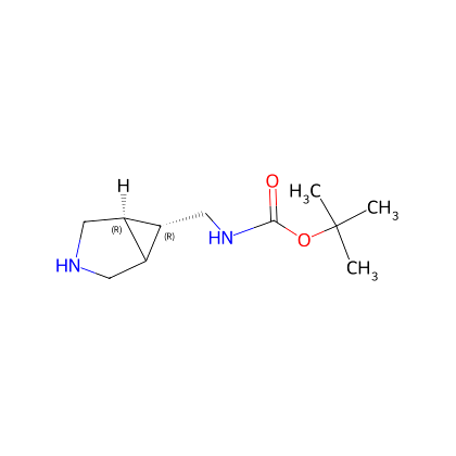 CC(C)(C)OC(=O)NC[C@@H]1C2CNC[C@H]21